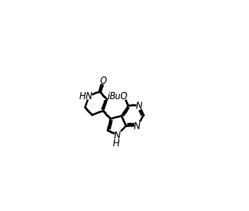 CC(C)COc1ncnc2[nH]cc(C3=CC(=O)NCC3)c12